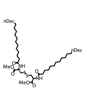 CCCCCCCCCCCCCCCCCCCCCC(=O)NC(CSSC[C@H](NC(=O)CCCCCCCCCCCCCCCCCCCCC)C(=O)OC)C(=O)OC